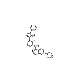 Cc1c(Nc2nccc3cc(N4CCOCC4)ccc23)cccc1-c1ncc(-c2ccccc2)[nH]1